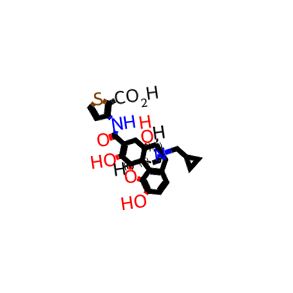 O=C(Nc1ccsc1C(=O)O)C1=C(O)[C@@H]2Oc3c(O)ccc4c3[C@@]23CCN(CC2CC2)[C@H](C4)[C@]3(O)C1